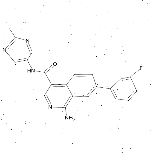 Cc1ncc(NC(=O)c2cnc(N)c3cc(-c4cccc(F)c4)ccc23)cn1